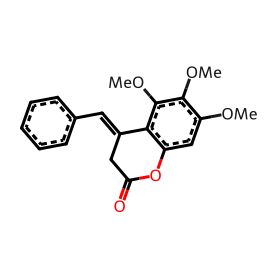 COc1cc2c(c(OC)c1OC)C(=Cc1ccccc1)CC(=O)O2